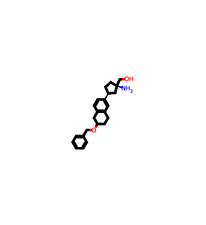 N[C@]1(CO)CC[C@H](c2ccc3c(c2)CCC(OCc2ccccc2)C3)C1